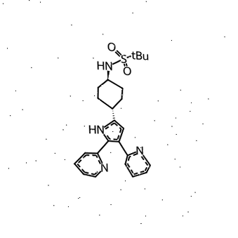 CC(C)(C)S(=O)(=O)N[C@H]1CC[C@H](c2cc(-c3ccccn3)c(-c3ccccn3)[nH]2)CC1